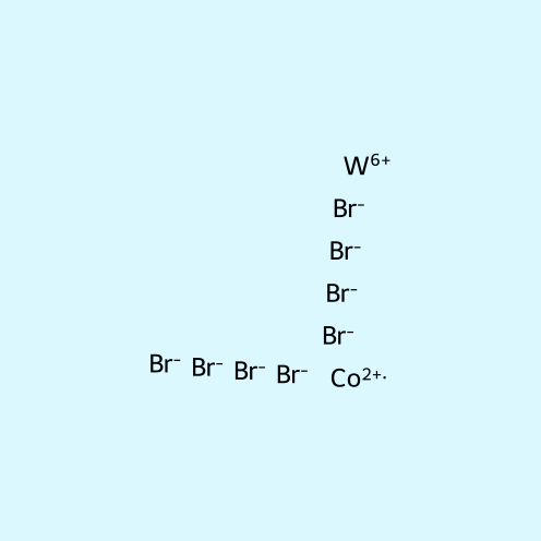 [Br-].[Br-].[Br-].[Br-].[Br-].[Br-].[Br-].[Br-].[Co+2].[W+6]